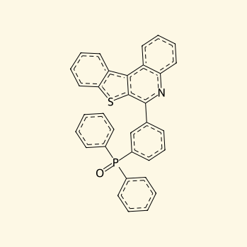 O=P(c1ccccc1)(c1ccccc1)c1cccc(-c2nc3ccccc3c3c2sc2ccccc23)c1